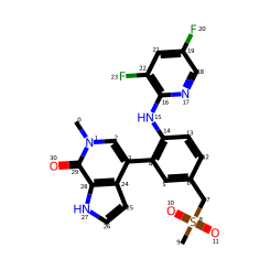 Cn1cc(-c2cc(CS(C)(=O)=O)ccc2Nc2ncc(F)cc2F)c2cc[nH]c2c1=O